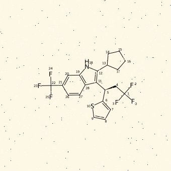 FC(F)(F)C[C@@H](c1cccs1)c1c(C2CCCC2)[nH]c2cc(C(F)(F)F)ccc12